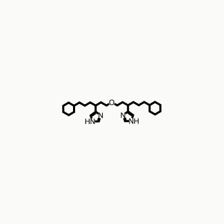 c1nc(C(CCCC2CCCCC2)CCOCCC(CCCC2CCCCC2)c2c[nH]cn2)c[nH]1